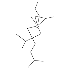 CCCS12(C)(CC1C)CC(CCC(C)C)(C(C)C)C2